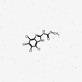 COC(=O)Nc1nc2c(Cl)c(Cl)c(Cl)c(Cl)c2[nH]1